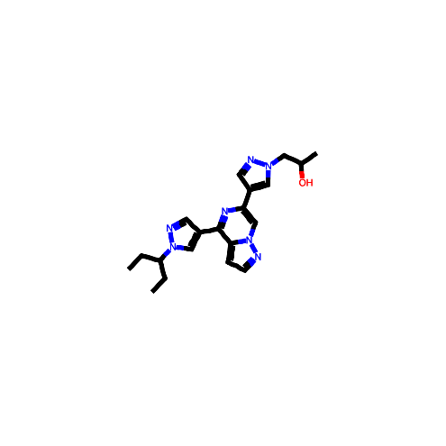 CCC(CC)n1cc(-c2nc(-c3cnn(CC(C)O)c3)cn3nccc23)cn1